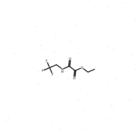 CCOC(=O)C(=O)NCC(F)(F)F